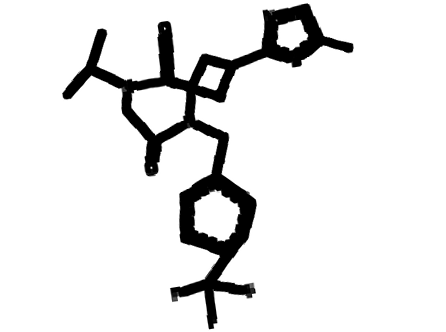 Cc1cnc(C2CC3(C2)C(=O)N(C(C)C)CC(=O)N3Cc2ccc(C(F)(F)F)cc2)s1